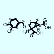 N[C@]1(C(=O)O)[C@H]2[C@@H](C[C@H]1OCc1ccc(Cl)c(Cl)c1)[C@@H]2C(=O)O